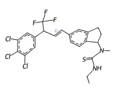 CCNC(=S)N(C)C1CCc2cc(/C=C/C(c3cc(Cl)c(Cl)c(Cl)c3)C(F)(F)F)ccc21